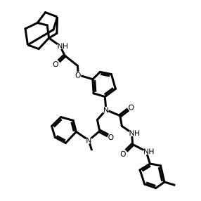 Cc1cccc(NC(=O)NCC(=O)N(CC(=O)N(C)c2ccccc2)c2cccc(OCC(=O)NC34CC5CC(CC(C5)C3)C4)c2)c1